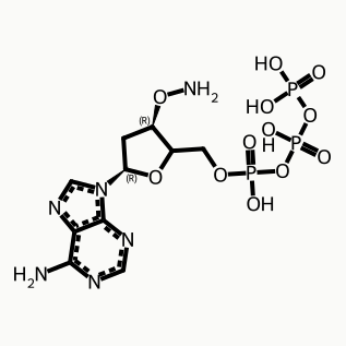 NO[C@@H]1C[C@H](n2cnc3c(N)ncnc32)OC1COP(=O)(O)OP(=O)(O)OP(=O)(O)O